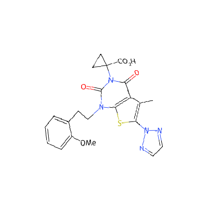 COc1ccccc1CCn1c(=O)n(C2(C(=O)O)CC2)c(=O)c2c(C)c(-n3nccn3)sc21